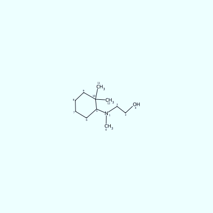 CN(CCO)C1CCCCC1(C)C